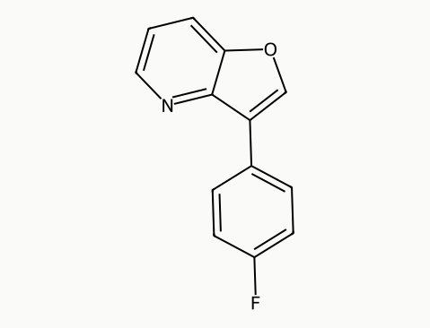 Fc1ccc(-c2coc3cccnc23)cc1